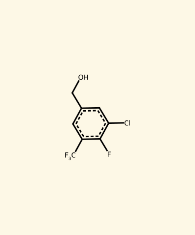 OCc1cc(Cl)c(F)c(C(F)(F)F)c1